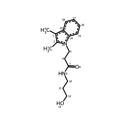 Cc1c(C)n(CCC(=O)NCCCO)c2ccccc12